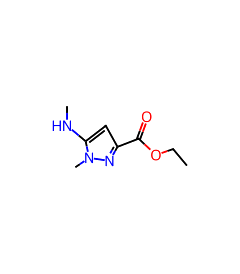 CCOC(=O)c1cc(NC)n(C)n1